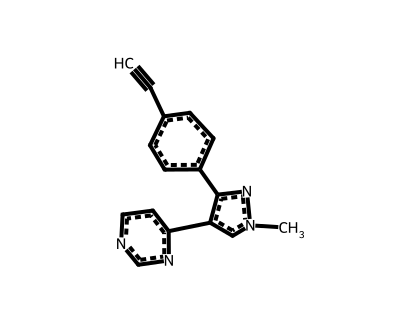 C#Cc1ccc(-c2nn(C)cc2-c2ccncn2)cc1